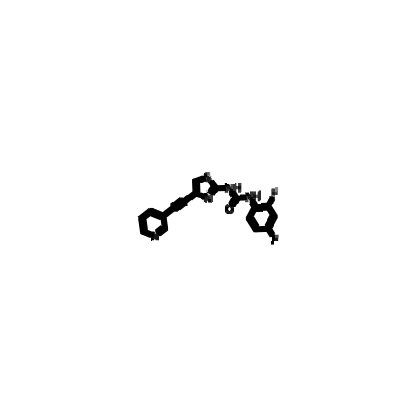 O=C(Nc1nc(C#Cc2cccnc2)cs1)Nc1ccc(F)cc1F